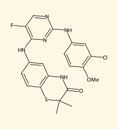 COc1ccc(Nc2ncc(F)c(Nc3ccc4c(c3)NC(=O)C(C)(C)S4)n2)cc1Cl